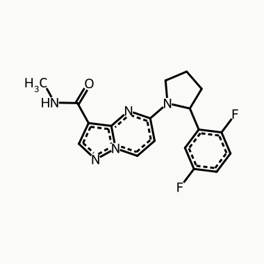 CNC(=O)c1cnn2ccc(N3CCCC3c3cc(F)ccc3F)nc12